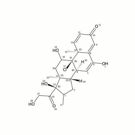 CC1C[C@H]2[C@@H]3C=C(O)C4=CC(=O)C=C[C@]4(C)[C@@]3(Cl)C(O)C[C@]2(C)[C@@]1(O)C(=O)CO